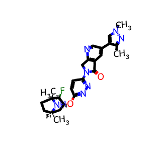 Cc1nn(C)cc1-c1cnc2c(c1)C(=O)N(c1ccc(O[C@@H]3C[C@@]4(C)CC[C@](C)(N4)[C@H]3F)nn1)C2